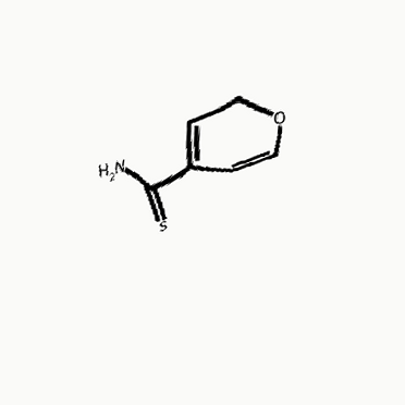 NC(=S)C1=CCOC=C1